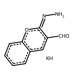 NN=c1oc2ccccc2cc1C=O.[KH]